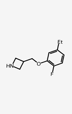 CCc1ccc(F)c(OCC2CNC2)c1